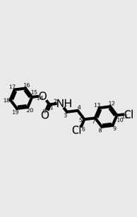 O=C(NCCC(Cl)c1ccc(Cl)cc1)Oc1ccccc1